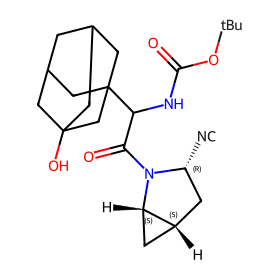 [C-]#[N+][C@@H]1C[C@@H]2C[C@@H]2N1C(=O)C(NC(=O)OC(C)(C)C)C12CC3CC(CC(O)(C3)C1)C2